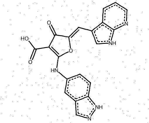 O=C(O)C1=C(Nc2ccc3[nH]ncc3c2)OC(=Cc2c[nH]c3ncccc23)C1=O